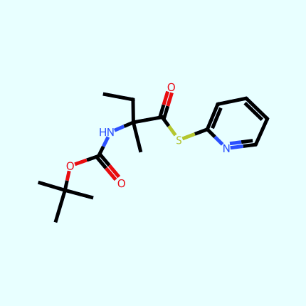 CCC(C)(NC(=O)OC(C)(C)C)C(=O)Sc1ccccn1